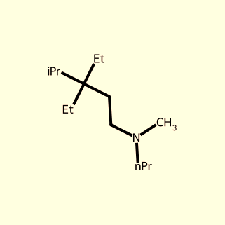 CCCN(C)CCC(CC)(CC)C(C)C